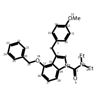 CCN(CC)C(=O)n1cc(Cc2ccc(OC)cc2)c2c(OCc3ccccc3)cccc21